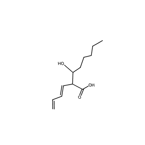 C=CC=CC(C(=O)O)C(O)CCCCC